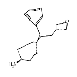 N[C@H]1CC[C@@H](N(CC2COC2)c2ccccc2)CC1